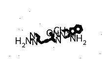 Cn1c(N2CCC3(CC2)Cc2ccccc2[C@H]3N)ncc(C#CCc2ccnc(N)n2)c1=O